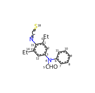 CCc1cc(N(C=O)c2ccccc2)cc(CC)c1N=C=S